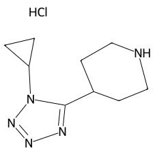 C1CC(c2nnnn2C2CC2)CCN1.Cl